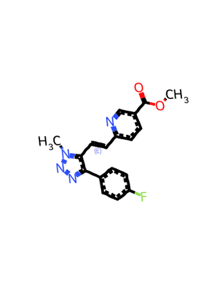 COC(=O)c1ccc(/C=C/c2c(-c3ccc(F)cc3)nnn2C)nc1